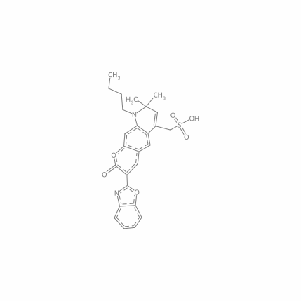 CCCCN1c2cc3oc(=O)c(-c4nc5ccccc5o4)cc3cc2C(CS(=O)(=O)O)=CC1(C)C